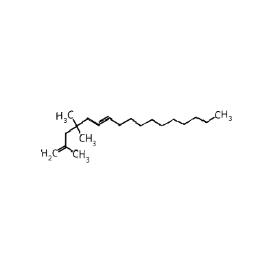 C=C(C)CC(C)(C)CC=CCCCCCCCCCC